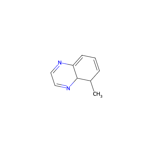 CC1C=CC=C2N=CC=NC21